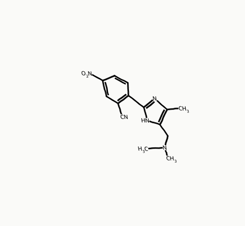 Cc1nc(-c2ccc([N+](=O)[O-])cc2C#N)[nH]c1CN(C)C